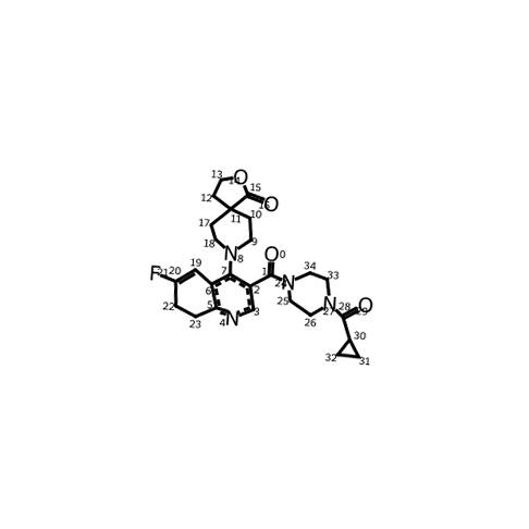 O=C(c1cnc2c(c1N1CCC3(CCOC3=O)CC1)C=C(F)CC2)N1CCN(C(=O)C2CC2)CC1